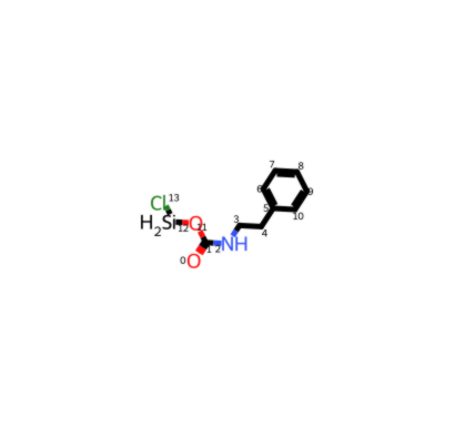 O=C(NCCc1ccccc1)O[SiH2]Cl